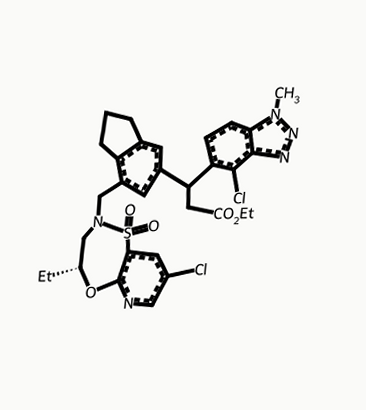 CCOC(=O)CC(c1cc2c(c(CN3C[C@@H](CC)Oc4ncc(Cl)cc4S3(=O)=O)c1)CCC2)c1ccc2c(nnn2C)c1Cl